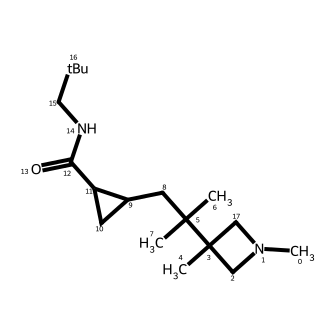 CN1CC(C)(C(C)(C)CC2CC2C(=O)NCC(C)(C)C)C1